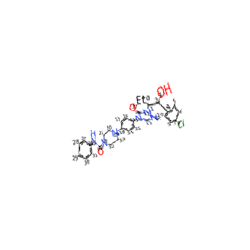 CCC(C(O)c1ccc(Cl)cc1)n1ncn(-c2ccc(N3CCN(C(=O)Nc4ccccc4)CC3)cc2)c1=O